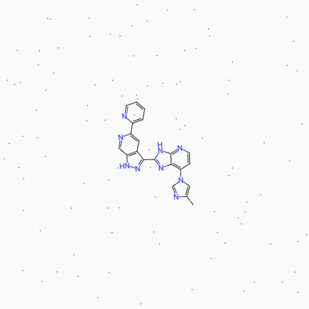 Cc1cn(-c2ccnc3[nH]c(-c4n[nH]c5cnc(-c6ccccn6)cc45)nc23)cn1